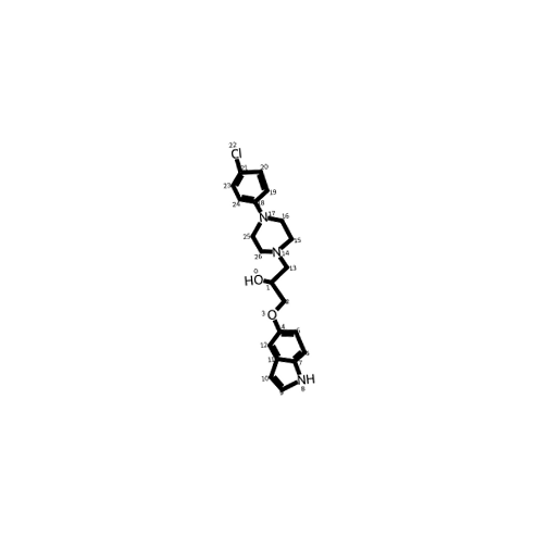 OC(COc1ccc2[nH]ccc2c1)CN1CCN(c2ccc(Cl)cc2)CC1